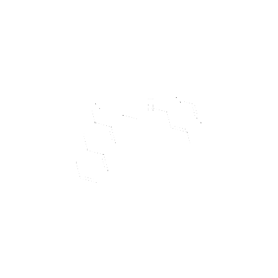 N#Cc1cc2ccccc2cc1CCNc1cc(Cl)ncn1